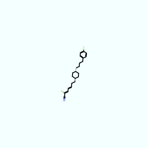 N#C/C(F)=C/C=C/CC[C@H]1CC[C@H](CCCCc2ccc(F)cc2)CC1